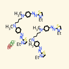 CC[n+]1ccsc1N=Nc1ccc(N(C)CCCCN(C)c2ccc(N=Nc3scc[n+]3CC)cc2)cc1.CC[n+]1ccsc1N=Nc1ccc(N(C)CCCCN(C)c2ccc(N=Nc3scc[n+]3CC)cc2)cc1.[Br-].[Br-].[Cl-].[Cl-]